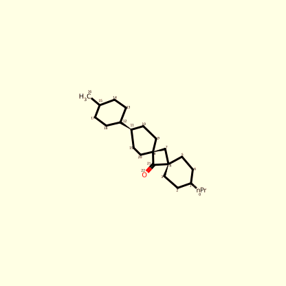 CCCC1CC[C@]2(CC1)C[C@@]1(CC[C@H](C3CCC(C)CC3)CC1)C2=O